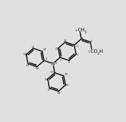 C/C(=C/C(=O)O)c1ccc(N(c2ccccc2)c2ccccc2)cc1